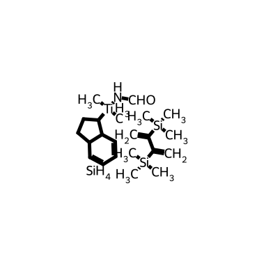 C=C(C(=C)[Si](C)(C)C)[Si](C)(C)C.[CH3][Ti]([CH3])([NH]C=O)[CH]1CCC2C=CC=CC21.[SiH4]